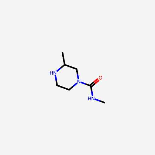 CNC(=O)N1CCNC(C)C1